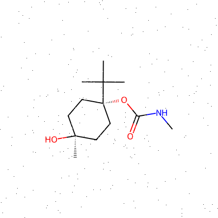 CNC(=O)O[C@]1(C(C)(C)C)CC[C@@](C)(O)CC1